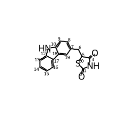 O=C1NC(=O)C(Cc2ccc3[nH]c4ccccc4c3c2)S1